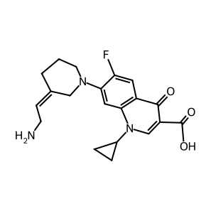 NC/C=C1/CCCN(c2cc3c(cc2F)c(=O)c(C(=O)O)cn3C2CC2)C1